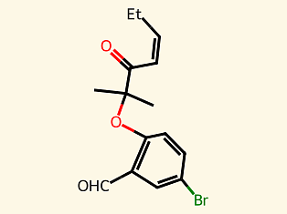 CC/C=C\C(=O)C(C)(C)Oc1ccc(Br)cc1C=O